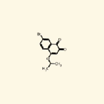 CC(C)OC1=CC(=O)C(=O)c2cc(Br)ccc21